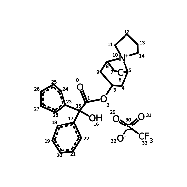 O=C(OC1CC2CCC(C1)[N+]21CCCC1)C(O)(c1ccccc1)c1ccccc1.O=S(=O)([O-])C(F)(F)F